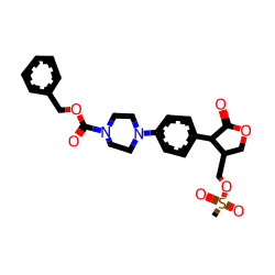 CS(=O)(=O)OCC1COC(=O)C1c1ccc(N2CCN(C(=O)OCc3ccccc3)CC2)cc1